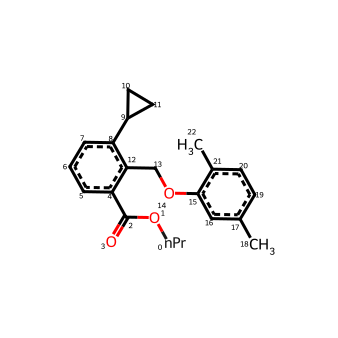 CCCOC(=O)c1cccc(C2CC2)c1COc1cc(C)ccc1C